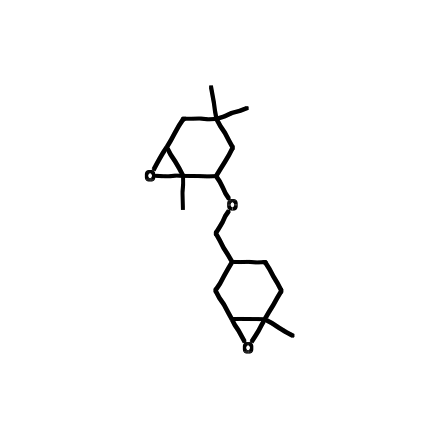 CC1(C)CC(OCC2CCC3(C)OC3C2)C2(C)OC2C1